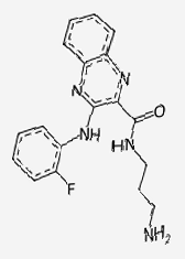 NCCCNC(=O)c1nc2ccccc2nc1Nc1ccccc1F